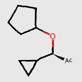 CC(=O)[C@H](OC1CCCC1)C1CC1